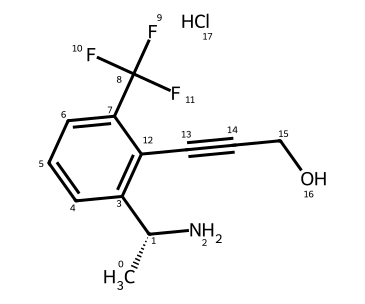 C[C@@H](N)c1cccc(C(F)(F)F)c1C#CCO.Cl